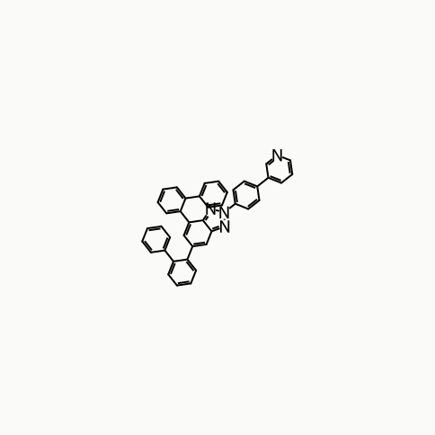 c1ccc(-c2ccccc2-c2cc(-c3ccccc3-c3ccccc3)c3nn(-c4ccc(-c5cccnc5)cc4)nc3c2)cc1